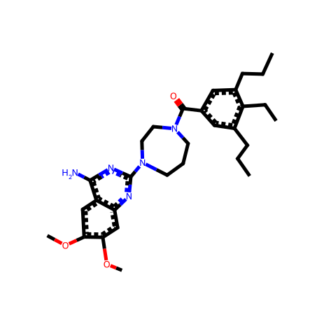 CCCc1cc(C(=O)N2CCCN(c3nc(N)c4cc(OC)c(OC)cc4n3)CC2)cc(CCC)c1CC